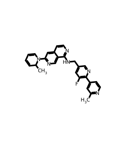 Cc1cc(-c2ncc(CNc3nccc4cc(N5C=CC=CC5C)ncc34)cc2F)ccn1